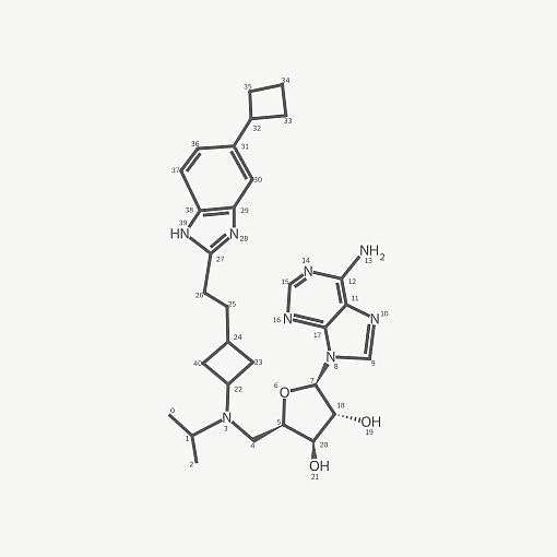 CC(C)N(C[C@H]1O[C@@H](n2cnc3c(N)ncnc32)[C@H](O)[C@H]1O)C1CC(CCc2nc3cc(C4CCC4)ccc3[nH]2)C1